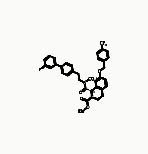 CC(C)(C)OC(=O)N1CCc2ccc(OCc3ccc(C(F)(F)F)cc3)cc2[C@H]1C(=O)N(CCc1ccc(-c2cccc(F)c2)cc1)C(=O)O